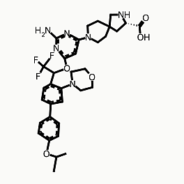 CC(C)Oc1ccc(-c2ccc(C(Oc3cc(N4CCC5(CC4)CN[C@H](C(=O)O)C5)nc(N)n3)C(F)(F)F)c(N3CCOCC3)c2)cc1